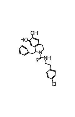 Oc1cc2c(cc1O)C(Cc1ccccc1)N(C(=S)NCCc1ccc(Cl)cc1)CC2